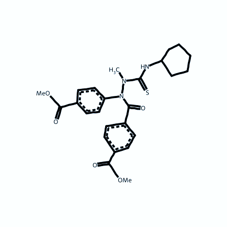 COC(=O)c1ccc(C(=O)N(c2ccc(C(=O)OC)cc2)N(C)C(=S)NC2CCCCC2)cc1